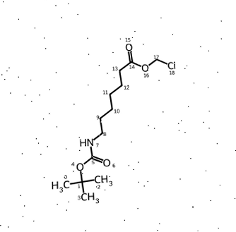 CC(C)(C)OC(=O)NCCCCCCC(=O)OCCl